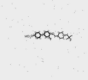 CC(C)(F)CN1CCC(COc2ccc(-c3ccc(C(=O)O)nc3)cc2F)CC1